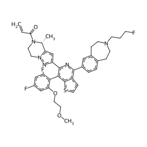 C=CC(=O)N1CCn2nc(-c3nc(-c4ccc5c(c4)CCN(CCCF)CC5)c4ccsc4c3-c3c(F)cc(F)cc3OCCOC)cc2[C@H]1C